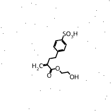 C=C(CCc1ccc(S(=O)(=O)O)cc1)C(=O)OCCO